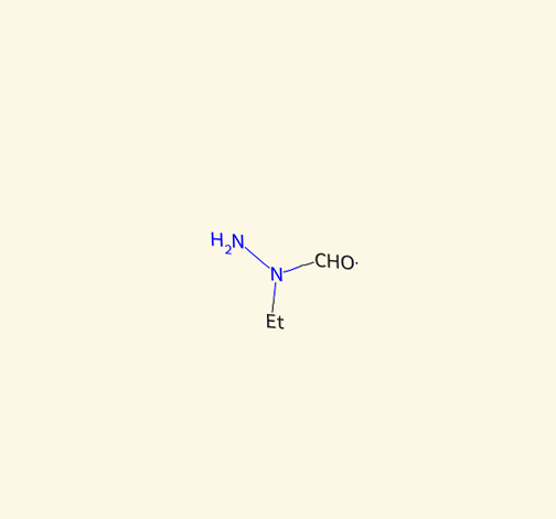 CCN(N)[C]=O